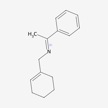 C/C(=N\CC1=CCCCC1)c1ccccc1